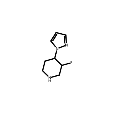 FC1CNCCC1n1cccn1